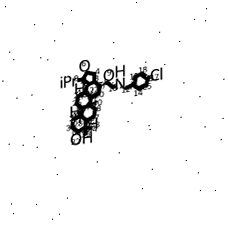 CC(C)C1=C2C(CC1=O)[C@@H](C(=O)CNCc1ccc(Cl)cc1)C[C@]1(C)[C@@H]2CC[C@@H]2[C@@]3(C)CC[C@H](O)C(C)(C)[C@@H]3CC[C@]21C